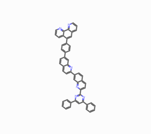 c1ccc(-c2cc(-c3ccccc3)nc(-c3ccc4ccc(-c5ccc6ccc(-c7ccc(-c8cc9cccnc9c9ncccc89)cc7)cc6n5)cc4n3)n2)cc1